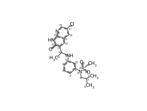 CC(C)CN(c1cccc(NC(C)c2cc3cc(Cl)cnc3[nH]c2=O)c1)S(C)(=O)=O